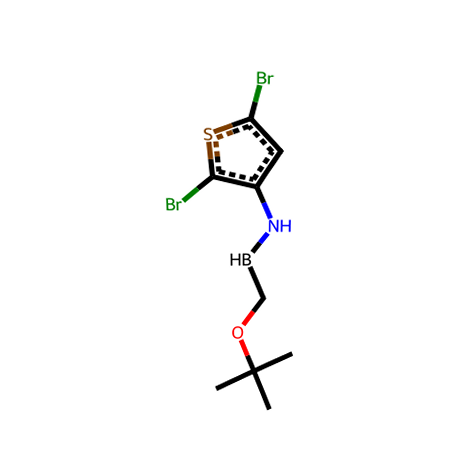 CC(C)(C)OCBNc1cc(Br)sc1Br